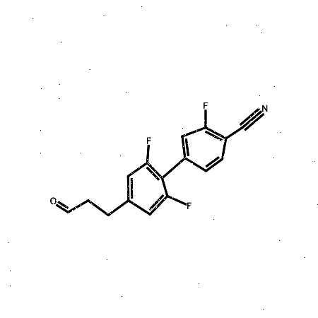 N#Cc1ccc(-c2c(F)cc(CCC=O)cc2F)cc1F